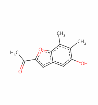 CC(=O)c1cc2cc(O)c(C)c(C)c2o1